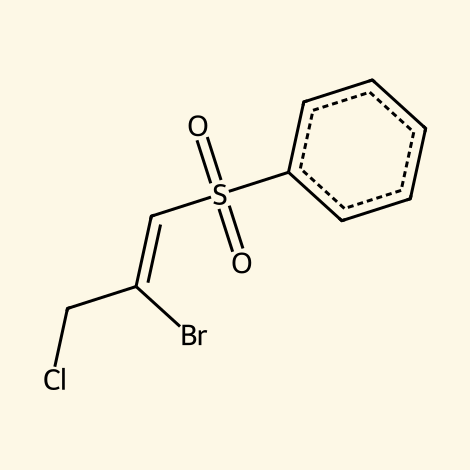 O=S(=O)(C=C(Br)CCl)c1ccccc1